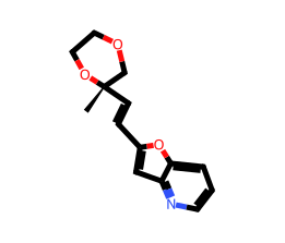 C[C@]1(/C=C/c2cc3ncccc3o2)COCCO1